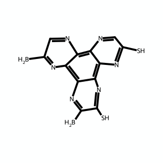 Bc1cnc2c3ncc(S)nc3c3nc(S)c(B)nc3c2n1